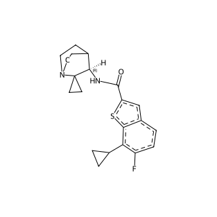 O=C(N[C@@H]1C2CCN(CC2)C12CC2)c1cc2ccc(F)c(C3CC3)c2s1